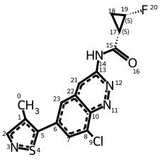 Cc1cnsc1-c1cc(Cl)c2nnc(NC(=O)[C@@H]3C[C@@H]3F)cc2c1